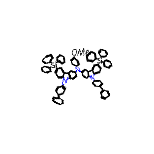 COc1ccc(N(c2ccc3c(c2)c2cc([Si](c4ccccc4)(c4ccccc4)c4ccccc4)ccc2n3-c2ccc(-c3ccccc3)cc2)c2ccc3c(c2)c2cc([Si](c4ccccc4)(c4ccccc4)c4ccccc4)ccc2n3-c2ccc(-c3ccccc3)cc2)cc1